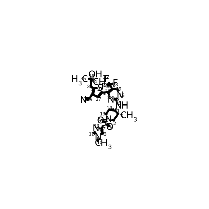 C[C@@H]1CN(S(=O)(=O)c2cn(C)cn2)CC[C@@H]1Nc1ncc(C(F)(F)F)c(-c2cc(C#N)c(CC(C)(C)O)s2)n1